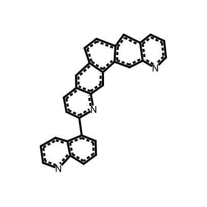 c1cnc2cc3c(ccc4cc5ccc(-c6cccc7ncccc67)nc5cc43)cc2c1